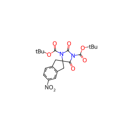 CC(C)(C)OC(=O)N1C(=O)N(C(=O)OC(C)(C)C)C2(Cc3ccc([N+](=O)[O-])cc3C2)C1=O